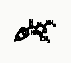 C=NN/C(=N\C(N)=O)NC1CC2OC(C1)C1CC21